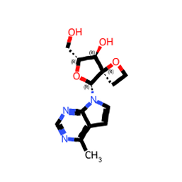 Cc1ncnc2c1ccn2[C@@H]1O[C@H](CO)[C@@H](O)[C@]12CCO2